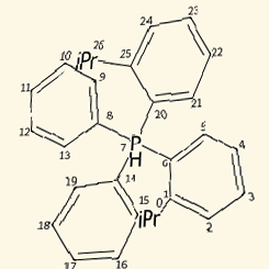 CC(C)c1ccccc1[PH](c1ccccc1)(c1ccccc1)c1ccccc1C(C)C